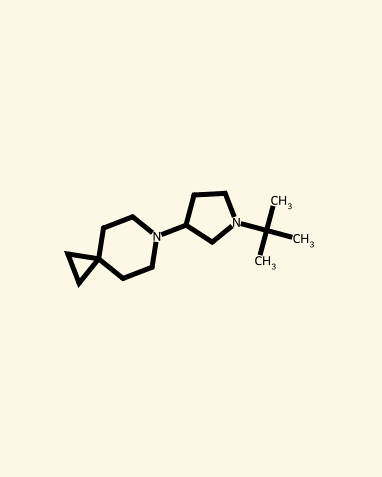 CC(C)(C)N1CCC(N2CCC3(CC2)CC3)C1